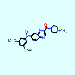 CCN(c1cc(OC)cc(OC)c1)c1ccc2ncc(C(=O)N3CCN(C)CC3)nc2c1